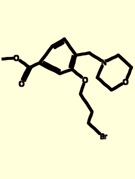 COC(=O)c1ccc(CN2CCOCC2)c(OCCCBr)c1